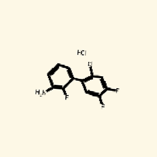 Cl.Nc1cccc(-c2cc(F)c(F)cc2Cl)c1F